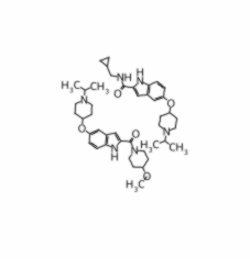 CC(C)N1CCC(Oc2ccc3[nH]c(C(=O)NCC4CC4)cc3c2)CC1.COC1CCN(C(=O)c2cc3cc(OC4CCN(C(C)C)CC4)ccc3[nH]2)CC1